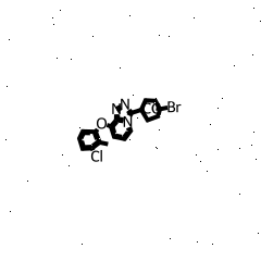 Cc1c(Cl)cccc1Oc1cccn2c(C34CCC(Br)(CC3)CC4)nnc12